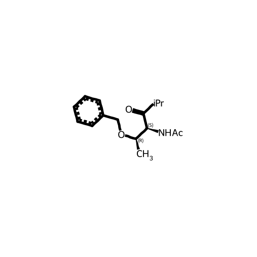 CC(=O)N[C@H](C(=O)C(C)C)[C@@H](C)OCc1ccccc1